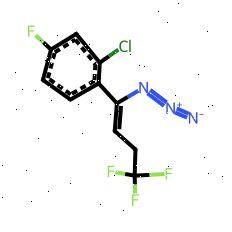 [N-]=[N+]=NC(=CCC(F)(F)F)c1ccc(F)cc1Cl